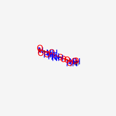 CC(=O)[C@H](C)NC(=O)CNC(=O)CCOCCOCCOCCN/C=C(/CNC(=O)CNC(=O)CCCCCN1C(=O)C=CC1=O)N=N